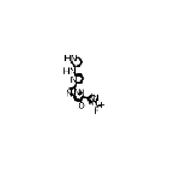 COc1cc2ncc(-c3cccc(NC4CCCNC4)n3)n2nc1-c1cnn(C(F)F)c1